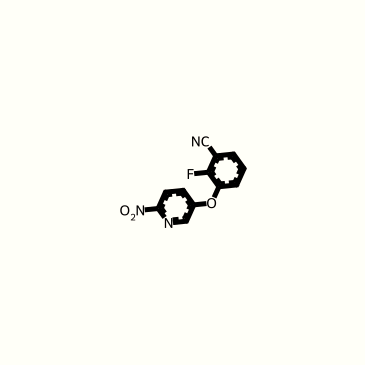 N#Cc1cccc(Oc2ccc([N+](=O)[O-])nc2)c1F